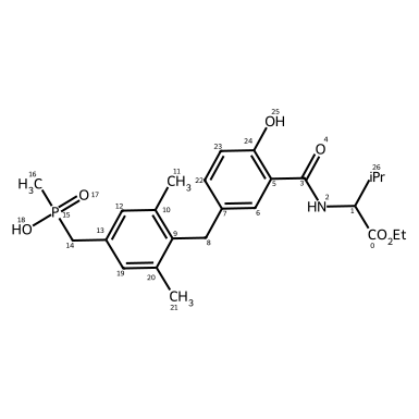 CCOC(=O)C(NC(=O)c1cc(Cc2c(C)cc(CP(C)(=O)O)cc2C)ccc1O)C(C)C